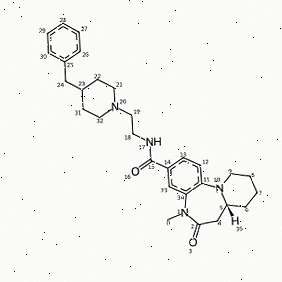 CN1C(=O)C[C@H]2CCCCN2c2ccc(C(=O)NCCN3CCC(Cc4ccccc4)CC3)cc21